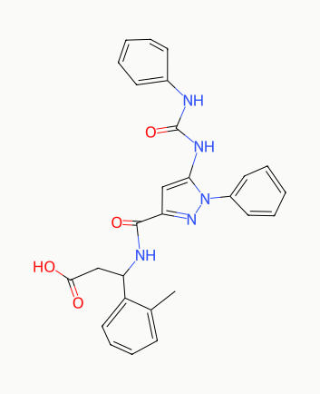 Cc1ccccc1C(CC(=O)O)NC(=O)c1cc(NC(=O)Nc2ccccc2)n(-c2ccccc2)n1